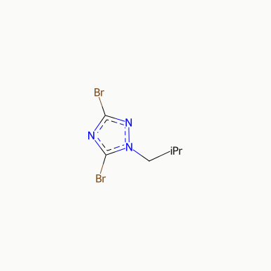 CC(C)Cn1nc(Br)nc1Br